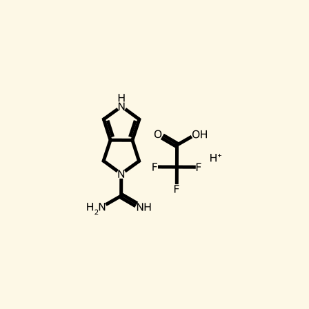 N=C(N)N1Cc2c[nH]cc2C1.O=C(O)C(F)(F)F.[H+]